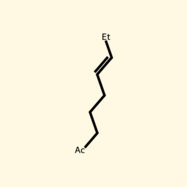 CCC=CCCCC(C)=O